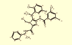 CC(=O)Cn1c(C(=O)N[C@H](C)c2ccccn2)nc(NC(=O)c2cc(F)cc(C(F)(F)F)c2)c1[C@@H](C)c1cc(F)ccc1Cl